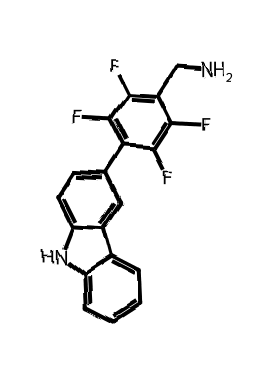 NCc1c(F)c(F)c(-c2ccc3[nH]c4ccccc4c3c2)c(F)c1F